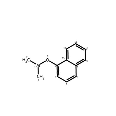 [CH3][Al]([CH3])[O]c1cccc2c[c]ccc12